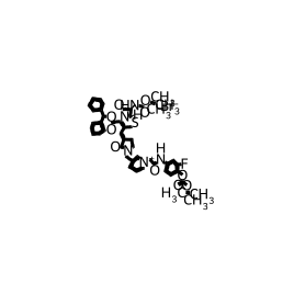 CC(C)(C)OC(=O)N[C@@H]1C(=O)N2C(C(=O)OC(c3ccccc3)c3ccccc3)=C(C=C3CCN(Cc4ccc[n+](CC(=O)Nc5ccc(OC(=O)OC(C)(C)C)c(F)c5)c4)C3=O)CS[C@H]12.[Br-]